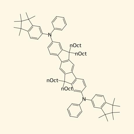 CCCCCCCCC1(CCCCCCCC)c2cc(N(c3ccccc3)c3ccc4c(c3)C(C)(C)C(C)(C)C4(C)C)ccc2-c2cc3c(cc21)-c1ccc(N(c2ccccc2)c2ccc4c(c2)C(C)(C)C(C)(C)C4(C)C)cc1C3(CCCCCCCC)CCCCCCCC